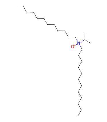 CCCCCCCCCCCC[N+]([O-])(CCCCCCCCCCCC)C(C)C